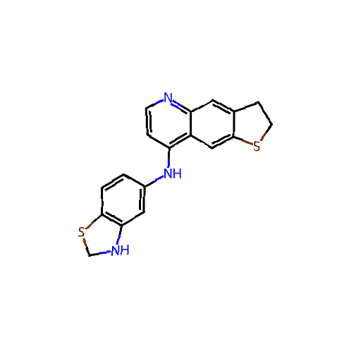 c1cc(Nc2ccc3c(c2)NCS3)c2cc3c(cc2n1)CCS3